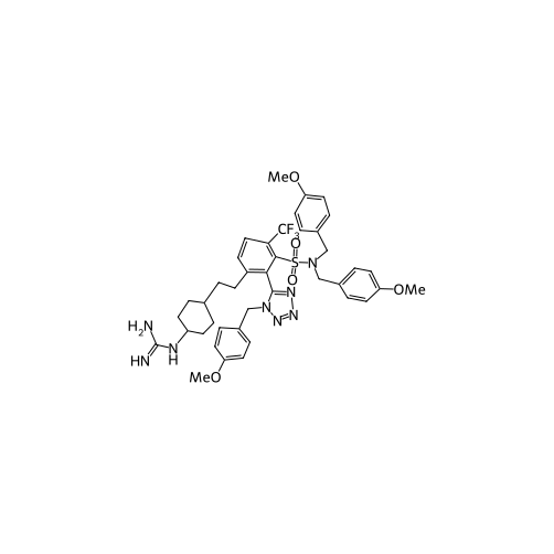 COc1ccc(CN(Cc2ccc(OC)cc2)S(=O)(=O)c2c(C(F)(F)F)ccc(CCC3CCC(NC(=N)N)CC3)c2-c2nnnn2Cc2ccc(OC)cc2)cc1